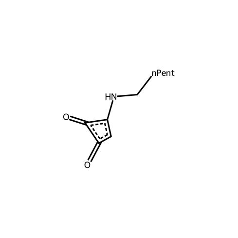 CCCCCCNc1cc(=O)c1=O